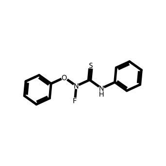 FN(Oc1ccccc1)C(=S)Nc1ccccc1